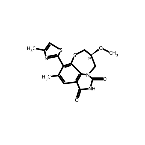 CO[C@@H]1CSc2c(-c3nc(C)cs3)c(C)cc3c(=O)[nH]c(=O)n(c23)C1